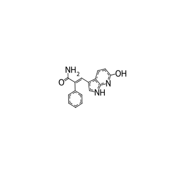 NC(=O)/C(=C/c1c[nH]c2nc(O)ccc12)c1ccccc1